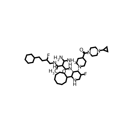 CC(NCC(F)CCC1CCCCC1)C(C(=O)N[C@H]1C(C2CCCCCCC2)NCC(F)[C@H]1N1CCC(C(=O)N2CCN(C3CC3)CC2)CC1)C(N)N